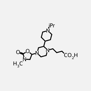 CC(C)N1CCC(C2CN(C3CN(C)C(=O)O3)CCN2CCCC(=O)O)CC1